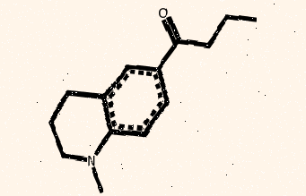 CCCC(=O)c1ccc2c(c1)CCCN2C